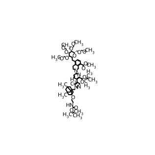 COCOC[C@@H]1OC(Cc2ccc(C(=O)OC)c3c2CCN(c2ccc(-c4cnn(CC56CC7(C)CC(C)(C5)CC(OCCNC(=O)OC(C)(C)C)(C7)C6)c4C)c(C(=O)OC(C)(C)C)n2)C3)[C@@H](OCOC)[C@H](OCOC)[C@H]1OCOC